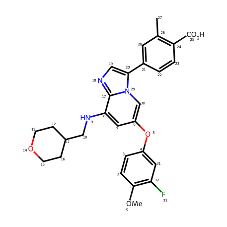 COc1ccc(Oc2cc(NCC3CCOCC3)c3ncc(-c4ccc(C(=O)O)c(C)c4)n3c2)cc1F